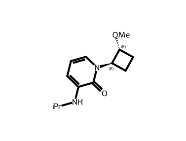 CO[C@@H]1CC[C@H]1n1cccc(NC(C)C)c1=O